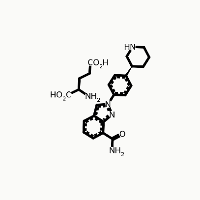 NC(=O)c1cccc2cn(-c3ccc([C@@H]4CCCNC4)cc3)nc12.NC(CCC(=O)O)C(=O)O